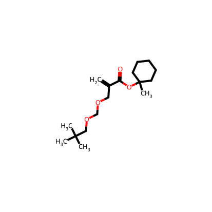 C=C(COCOCC(C)(C)C)C(=O)OC1(C)CCCCC1